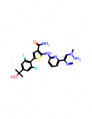 C=N/C(=C\N(C)N)c1cccc(Nc2sc(-c3c(F)cc(C(C)(C)O)cc3F)cc2C(N)=O)n1